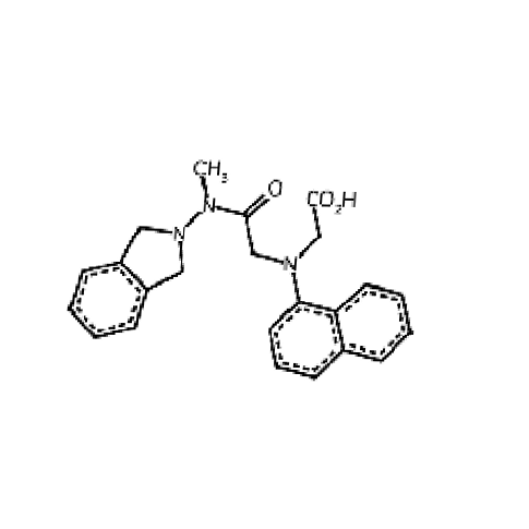 CN(C(=O)CN(CC(=O)O)c1cccc2ccccc12)N1Cc2ccccc2C1